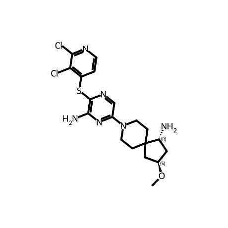 CO[C@@H]1C[C@@H](N)C2(CCN(c3cnc(Sc4ccnc(Cl)c4Cl)c(N)n3)CC2)C1